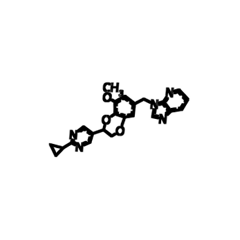 COc1cc(Cn2cnc3cccnc32)cc2c1OC(c1cnc(C3CC3)nc1)CO2